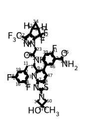 CC1(O)CN(c2nc3nc([C@H](Cc4cc(F)cc(F)c4)NC(=O)Cn4nc(C(F)(F)F)c5c4C(F)(F)[C@@H]4C[C@H]54)c(-c4ccc(F)c(C(N)=O)c4)cc3s2)C1